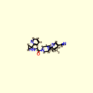 C[C@H]1CC2CN(C(=O)CNC3(c4ccccn4)CC3)CC1N2c1ccc(C#N)cn1